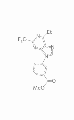 CCc1nc(C(F)(F)F)nc2c1ncn2-c1cccc(C(=O)OC)c1